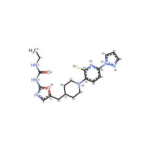 CCNC(=O)Nc1ncc(CC2CCN(c3ccc(-n4cccn4)nc3F)CC2)o1